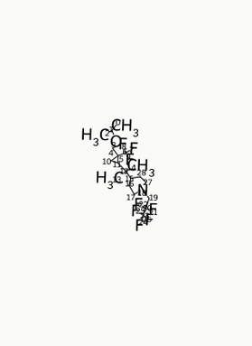 CC(C)OCC1(C(F)(F)F)CC1C(C)(C)C1CCN(CC(F)(F)C(F)(F)F)CC1